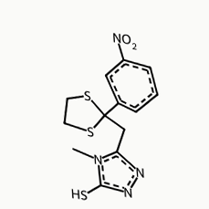 Cn1c(S)nnc1CC1(c2cccc([N+](=O)[O-])c2)SCCS1